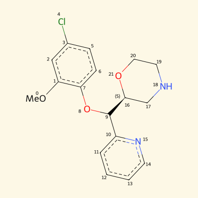 COc1cc(Cl)ccc1OC(c1ccccn1)[C@@H]1CNCCO1